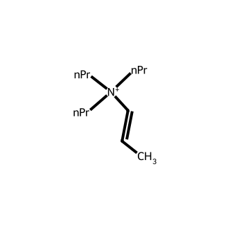 CC=C[N+](CCC)(CCC)CCC